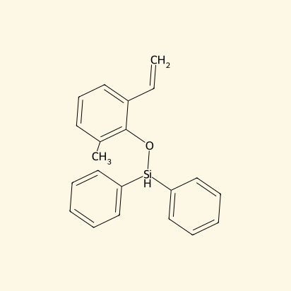 C=Cc1cccc(C)c1O[SiH](c1ccccc1)c1ccccc1